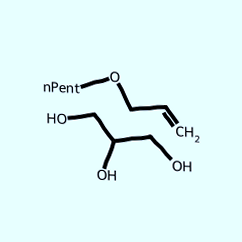 C=CCOCCCCC.OCC(O)CO